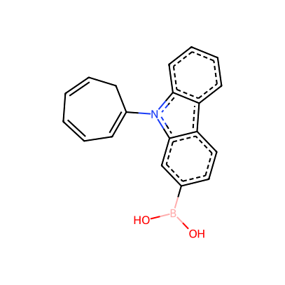 OB(O)c1ccc2c3ccccc3n(C3=CC=CC=CC3)c2c1